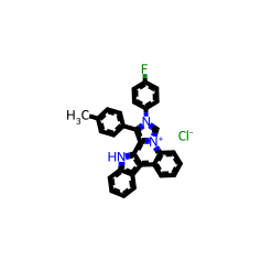 Cc1ccc(-c2c3c4[nH]c5ccccc5c4c4ccccc4[n+]3cn2-c2ccc(F)cc2)cc1.[Cl-]